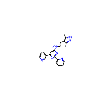 Cc1n[nH]c(C)c1CCNc1cc(-c2cccnc2)nc(-c2ccccn2)n1